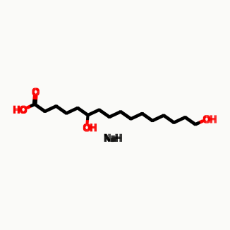 O=C(O)CCCCC(O)CCCCCCCCCCO.[NaH]